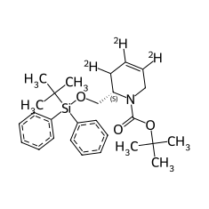 [2H]C1=C([2H])C([2H])[C@@H](CO[Si](c2ccccc2)(c2ccccc2)C(C)(C)C)N(C(=O)OC(C)(C)C)C1